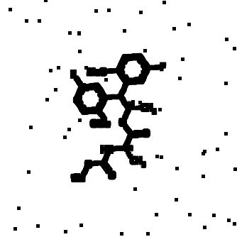 COc1ccc(F)cc1C(c1cc(F)ccc1OC)[C@H](C)OC(=O)[C@H](C)NC(=O)OC(C)(C)C